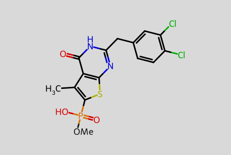 COP(=O)(O)c1sc2nc(Cc3ccc(Cl)c(Cl)c3)[nH]c(=O)c2c1C